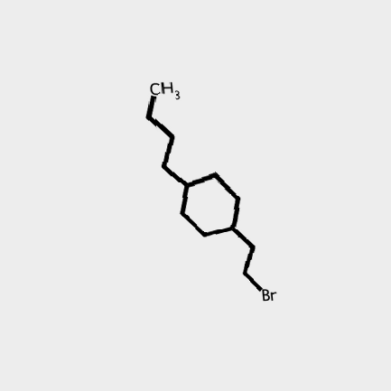 CCCCC1CCC(CCBr)CC1